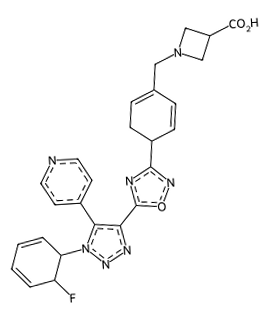 O=C(O)C1CN(CC2=CCC(c3noc(-c4nnn(C5C=CC=CC5F)c4-c4ccncc4)n3)C=C2)C1